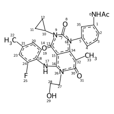 CC(=O)Nc1cccc(-n2c(=O)n(C3CC3)c(=O)c3c(Nc4ccc(C)cc4F)n(CCO)c(=O)c(C)c32)c1